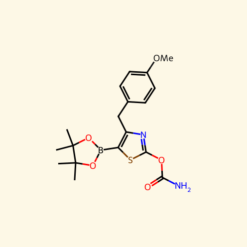 COc1ccc(Cc2nc(OC(N)=O)sc2B2OC(C)(C)C(C)(C)O2)cc1